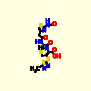 Cc1nnc(SC2=C(C(=O)O)N3C(=O)[C@@H](NC(=O)Cc4csc(NC=O)n4)[C@@H]3SC2)s1